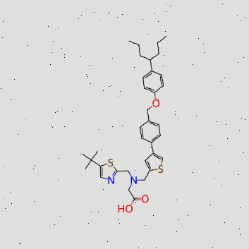 CCCC(CCC)c1ccc(OCc2ccc(-c3csc(CN(CC(=O)O)Cc4ncc(C(C)(C)C)s4)c3)cc2)cc1